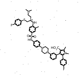 Cc1cc(S(=O)(=O)Nc2ccc(N3CCN(c4cccc(-c5c(C(=O)O)c(C)n(C)c5-c5ccc(F)cc5)c4)CC3)cc2)ccc1N[C@H](CCN(C)C)CSc1ccc(F)cc1